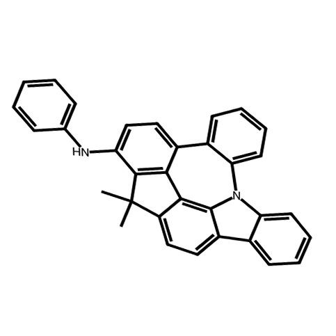 CC1(C)c2ccc3c4ccccc4n4c3c2-c2c(ccc(Nc3ccccc3)c21)-c1ccccc1-4